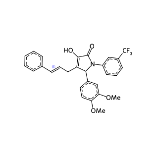 COc1ccc(C2C(C/C=C/c3ccccc3)=C(O)C(=O)N2c2cccc(C(F)(F)F)c2)cc1OC